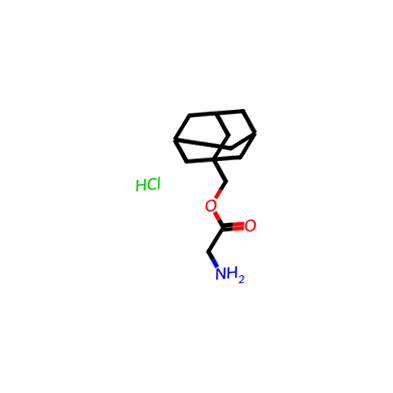 Cl.NCC(=O)OCC12CC3CC(CC(C3)C1)C2